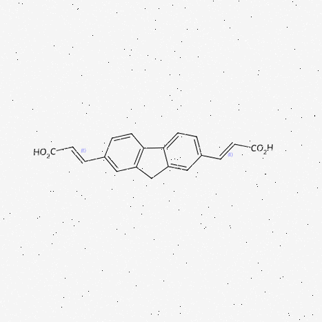 O=C(O)/C=C/c1ccc2c(c1)Cc1cc(/C=C/C(=O)O)ccc1-2